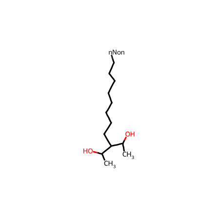 CCCCCCCCCCCCCCCCC[C](C(C)O)C(C)O